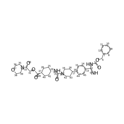 N=C(NC(=O)OCc1ccccc1)c1ccc(C2CCN(C(=O)N[C@H]3CC[C@H](C(=O)OCC(=O)N4CCOCC4)CC3)CC2)cc1